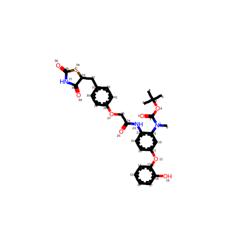 CN(C(=O)OC(C)(C)C)c1cc(Oc2ccccc2O)ccc1NC(=O)COc1ccc(CC2SC(=O)NC2=O)cc1